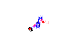 O=C(O)Oc1nnnn1Cc1cn2c(C(=O)NCC34CC5CC(CC(C5)C3)C4)cccc2n1